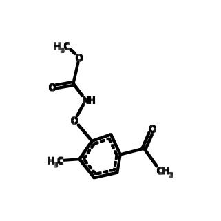 COC(=O)NOc1cc(C(C)=O)ccc1C